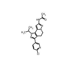 CC(=O)Nc1cc2n(n1)CCc1c(-c3ccc(Cl)nc3)nn(C(C)C)c1-2